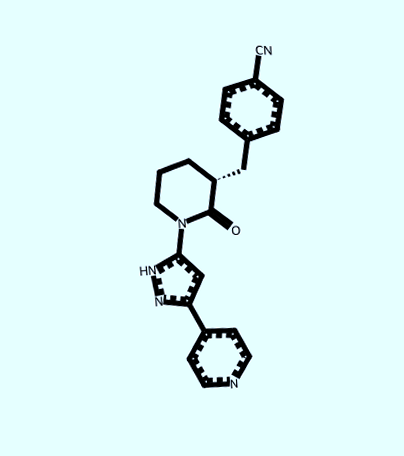 N#Cc1ccc(C[C@H]2CCCN(c3cc(-c4ccncc4)n[nH]3)C2=O)cc1